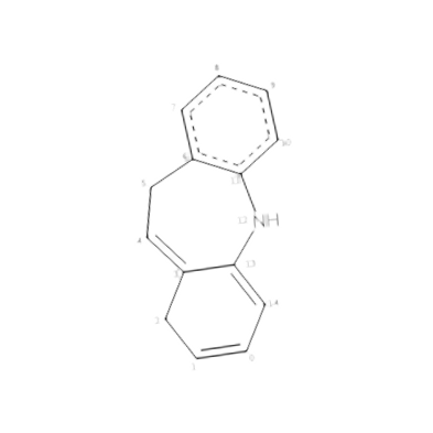 C1=CCC2=CCc3ccccc3NC2=C1